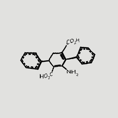 NC1=C(C(=O)O)C(c2ccccc2)CC(C(=O)O)=C1c1ccccc1